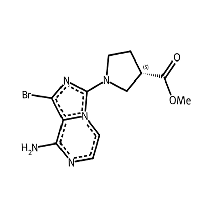 COC(=O)[C@H]1CCN(c2nc(Br)c3c(N)nccn23)C1